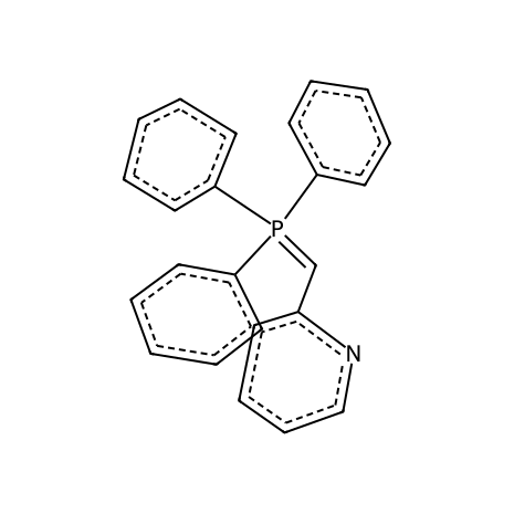 C(c1ccccn1)=P(c1ccccc1)(c1ccccc1)c1ccccc1